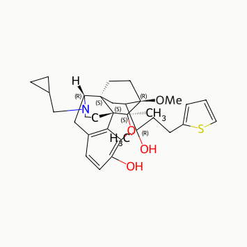 CO[C@]12CC[C@@]3(CC1[C@](C)(O)CCc1cccs1)[C@H]1Cc4ccc(O)c5c4[C@@]3(CCN1CC1CC1)[C@]2(C)O5